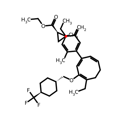 C=C(/C=C(C(\C)=C/C(C)CC)/C1=C/C(OC[C@H]2CC[C@H](C(F)(F)F)CC2)=C(/CC)CC/C=C\1)C1C[C@H]1C(=O)OCC